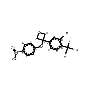 O=[N+]([O-])c1ccc(OC2(c3ccc(C(F)(F)F)c(F)c3)COC2)cc1